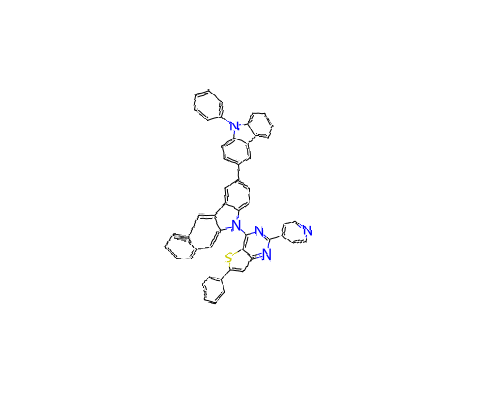 c1ccc(-c2cc3nc(-c4ccncc4)nc(-n4c5ccc(-c6ccc7c(c6)c6ccccc6n7-c6ccccc6)cc5c5cc6ccccc6cc54)c3s2)cc1